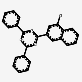 Clc1cc(-c2nc(-c3ccccc3)nc(-c3ccccc3)n2)cc2ccccc12